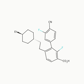 CC[C@H]1CC[C@H](CCc2ccc(C(=O)O)c(F)c2-c2ccc(C#N)c(F)c2)CC1